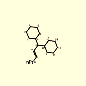 CCCC=CC(C1CCCCC1)C1CCCCC1